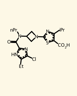 CCCN(C(=O)c1nc(Cl)c(CC)[nH]1)C1CN(c2nc(C(C)C)c(C(=O)O)s2)C1